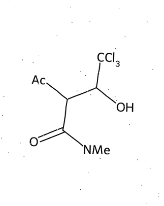 CNC(=O)C(C(C)=O)C(O)C(Cl)(Cl)Cl